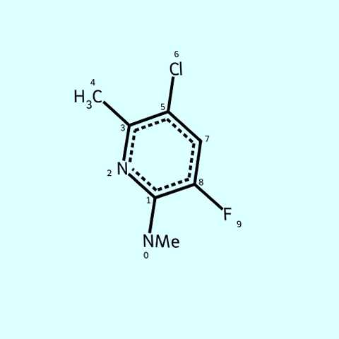 CNc1nc(C)c(Cl)cc1F